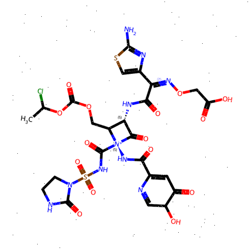 CC(Cl)OC(=O)OCC1[C@H](NC(=O)/C(=N\OCC(=O)O)c2csc(N)n2)C(=O)[N@+]1(NC(=O)C1=CC(=O)C(O)C=N1)C(=O)NS(=O)(=O)N1CCNC1=O